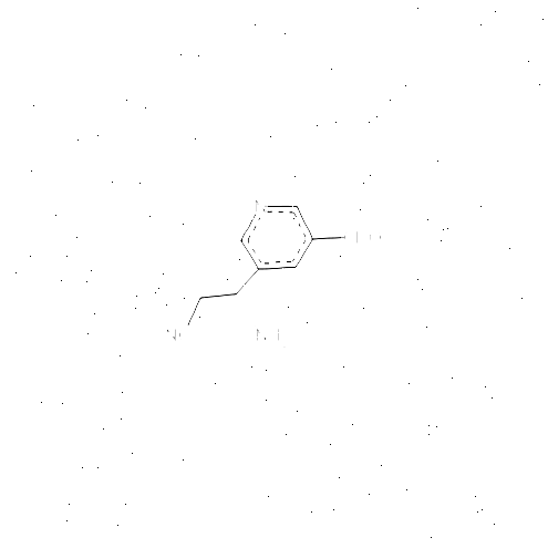 N#CC[C@@H](N)c1cncc(C=O)c1